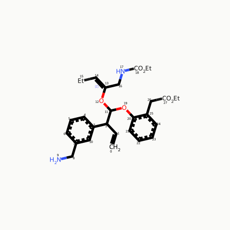 C=CC(c1cccc(CN)c1)C(O/C(=C\CC)CNC(=O)OCC)Oc1ccccc1CC(=O)OCC